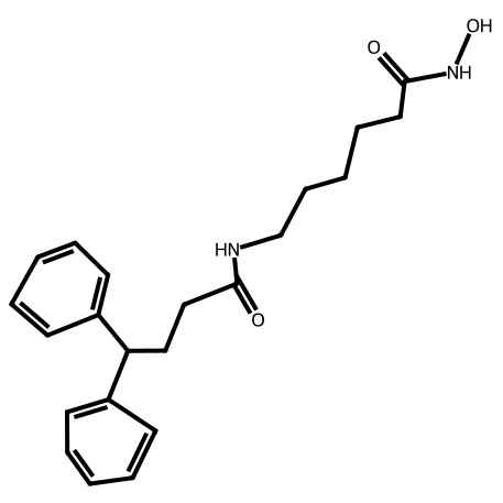 O=C(CCCCCNC(=O)CCC(c1ccccc1)c1ccccc1)NO